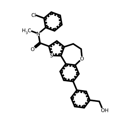 CN(C(=O)c1cc2c(s1)-c1ccc(-c3cccc(CO)c3)cc1OCC2)c1ccccc1Cl